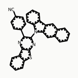 N#Cc1ccc(-c2nc3c(nc2-n2c4ccccc4c4cc5ccccc5cc42)sc2ccccc23)cc1